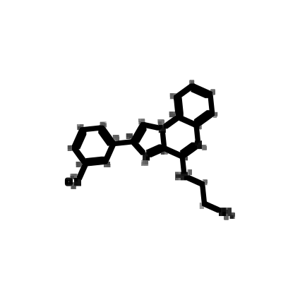 NCCNc1nc2ccccc2n2cc(-c3cccc([N+](=O)[O-])c3)nc12